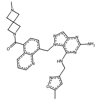 Cc1cc(CNc2nc(N)nc3cnn(Cc4ccc(C(=O)N5CC6(CN(C)C6)C5)c5cccnc45)c23)no1